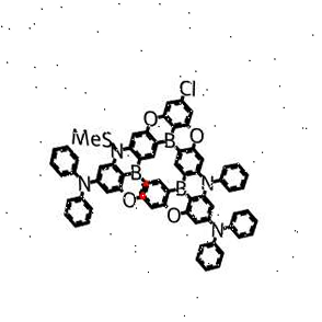 CSN1c2cc3c(cc2B2c4ccccc4Oc4cc(N(c5ccccc5)c5ccccc5)cc1c42)B1c2cc4c(cc2Oc2cc(Cl)cc(c21)O3)N(c1ccccc1)c1cc(N(c2ccccc2)c2ccccc2)cc2c1B4c1ccccc1O2